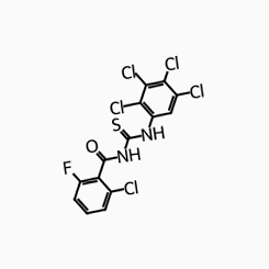 O=C(NC(=S)Nc1cc(Cl)c(Cl)c(Cl)c1Cl)c1c(F)cccc1Cl